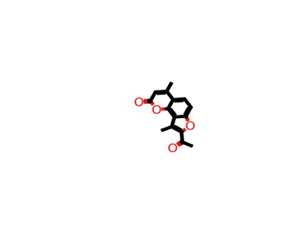 CC(=O)c1oc2ccc3c(C)cc(=O)oc3c2c1C